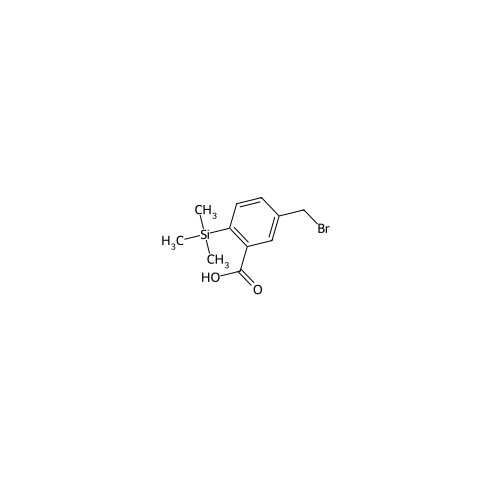 C[Si](C)(C)c1ccc(CBr)cc1C(=O)O